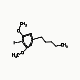 CCCCCc1cc(OC)c(I)c(OC)c1